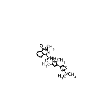 Cc1cc(-c2csc(N(C)C)n2)c(C)n1NC(=O)c1nn(C)c(=O)c2ccccc12